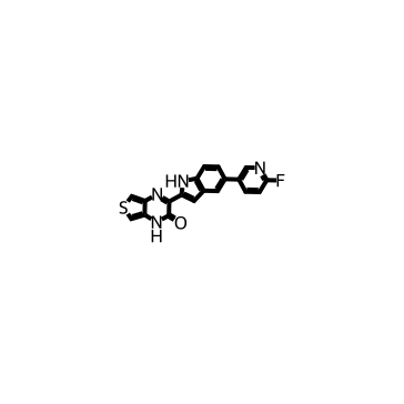 O=c1[nH]c2cscc2nc1-c1cc2cc(-c3ccc(F)nc3)ccc2[nH]1